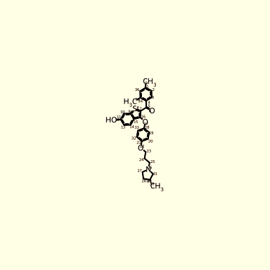 Cc1ccc(C(=O)c2sc3cc(O)ccc3c2Oc2ccc(OCCCN3CC[C@@H](C)C3)cc2)c(C)c1